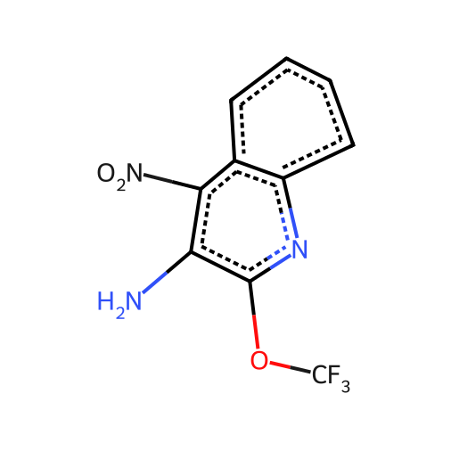 Nc1c(OC(F)(F)F)nc2ccccc2c1[N+](=O)[O-]